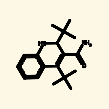 CC(C)(C)C1=C(C(N)=O)C(C(C)(C)C)Nc2ccccc21